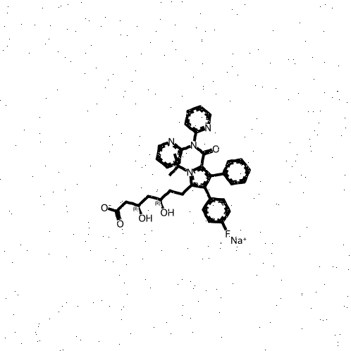 CC(C)n1c(CC[C@@H](O)C[C@@H](O)CC(=O)[O-])c(-c2ccc(F)cc2)c(-c2ccccc2)c1C(=O)N(c1ccccn1)c1ccccn1.[Na+]